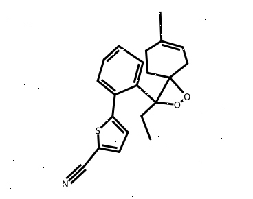 CCC1(c2ccccc2-c2ccc(C#N)s2)OOC12CC=C(C)CC2